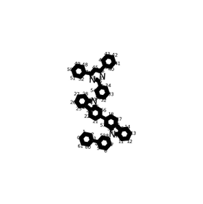 c1ccc(-c2cccc(-n3c4ccccc4c4ccc(-c5ccc6c7ccccc7n(-c7cccc(-c8nc(-c9ccccc9)cc(-c9ccccc9)n8)c7)c6c5)cc43)c2)cc1